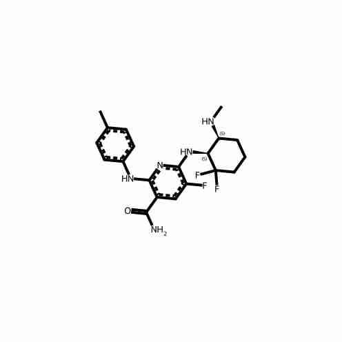 CN[C@H]1CCCC(F)(F)[C@H]1Nc1nc(Nc2ccc(C)cc2)c(C(N)=O)cc1F